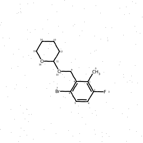 Cc1c(F)ccc(Br)c1COC1CCCCO1